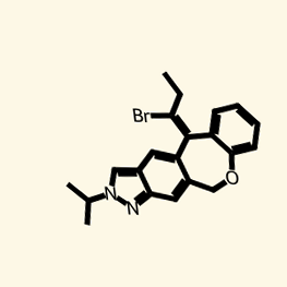 CCC(Br)=C1c2cc3cn(C(C)C)nc3cc2COc2ccccc21